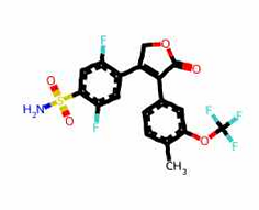 Cc1ccc(C2=C(c3cc(F)c(S(N)(=O)=O)cc3F)COC2=O)cc1OC(F)(F)F